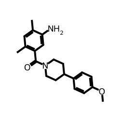 COc1ccc(C2CCN(C(=O)c3cc(N)c(C)cc3C)CC2)cc1